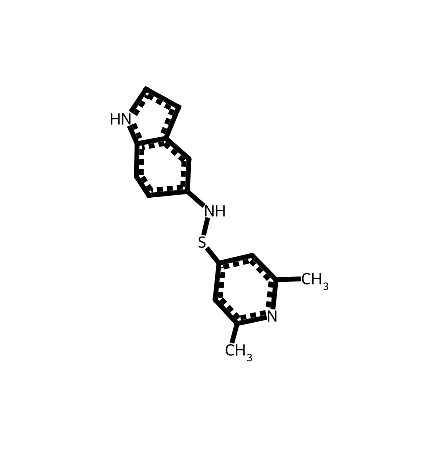 Cc1cc(SNc2ccc3[nH]ccc3c2)cc(C)n1